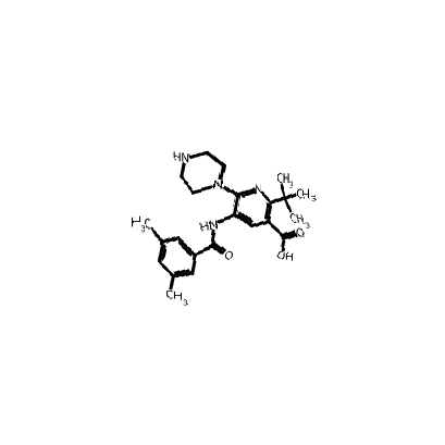 Cc1cc(C)cc(C(=O)Nc2cc(C(=O)O)c(C(C)(C)C)nc2N2CCNCC2)c1